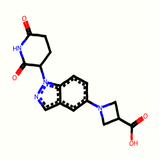 O=C1CCC(n2ncc3cc(N4CC(C(=O)O)C4)ccc32)C(=O)N1